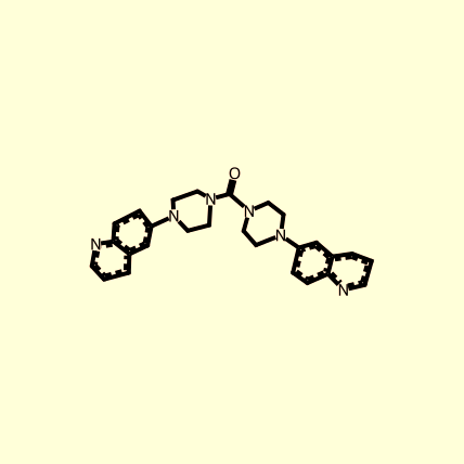 O=C(N1CCN(c2ccc3ncccc3c2)CC1)N1CCN(c2ccc3ncccc3c2)CC1